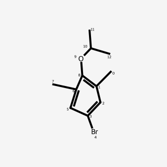 Cc1cc(Br)cc(C)c1OC(C)C